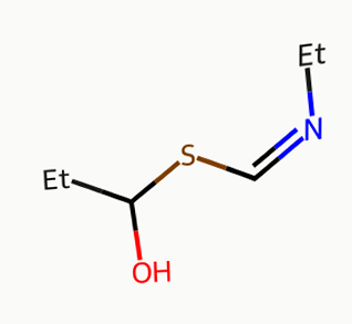 CC/N=C\SC(O)CC